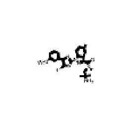 COc1cccc(-c2nc(-n3nc(C(=O)N(C)CC(C)(C)N)c4cc(C)ccc43)sc2C(C)C)c1